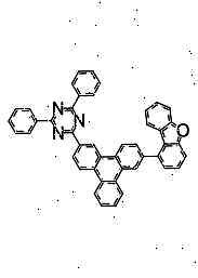 c1ccc(-c2nc(-c3ccccc3)nc(-c3ccc4c5ccccc5c5cc(-c6cccc7oc8ccccc8c67)ccc5c4c3)n2)cc1